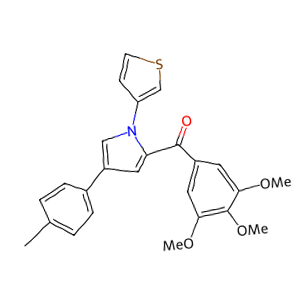 COc1cc(C(=O)c2cc(-c3ccc(C)cc3)cn2-c2ccsc2)cc(OC)c1OC